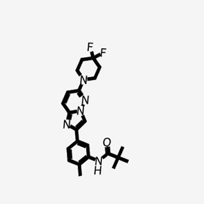 Cc1ccc(-c2cn3nc(N4CCC(F)(F)CC4)ccc3n2)cc1NC(=O)C(C)(C)C